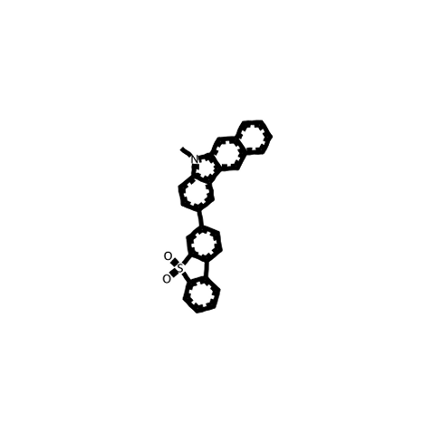 Cn1c2ccc(-c3ccc4c(c3)S(=O)(=O)c3ccccc3-4)cc2c2cc3ccccc3cc21